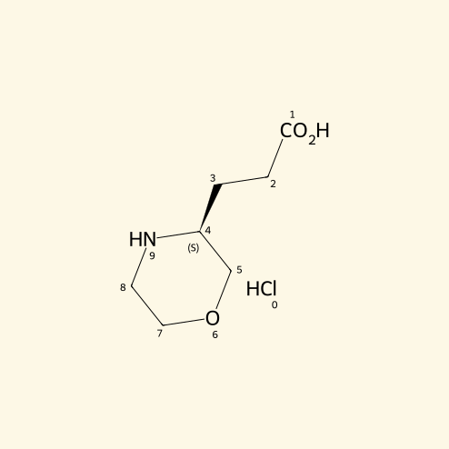 Cl.O=C(O)CC[C@H]1COCCN1